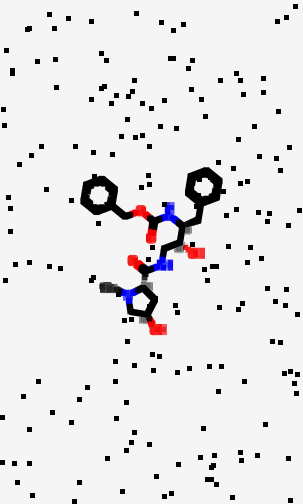 CC(C)(C)N1C[C@H](O)C[C@H]1C(=O)NC[C@@H](O)[C@H](Cc1ccccc1)NC(=O)OCc1ccccc1